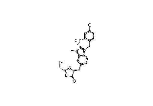 CCSC1=NC(=O)C(=Cc2ccc3c(c2)c(C)nn3Cc2ccc(Cl)cc2C(F)(F)F)S1